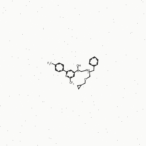 O[C@@H](CN[C@H](COCC1CC1)Cc1ccccc1)c1cc(-c2ccc(C(F)(F)F)cc2)nc(C(F)(F)F)c1